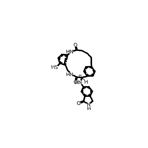 O=C1CCCc2ccc(cc2)[C@@H](Nc2ccc3c(c2)C(=O)NC3)C(=O)NCc2cc(ccc2S)N1